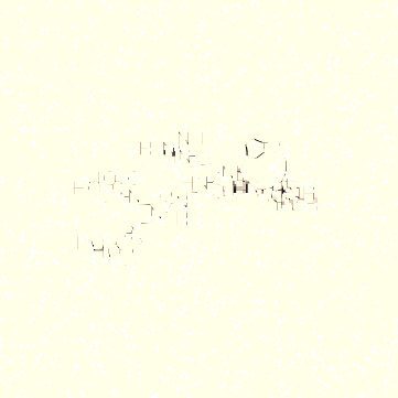 CC(C)C[C@H]1C(=O)N[C@H](C(=O)N[C@@H](CCCNC(=N)N)C(=O)NCCNC(=O)CN(CCN(CC(=O)O)CC(=O)O)CCN(CC(=O)O)CC(=O)O)Cc2ccc(cc2)OCCC[C@@H]1C(=O)NO